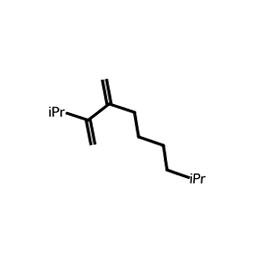 C=C(CCCCC(C)C)C(=C)C(C)C